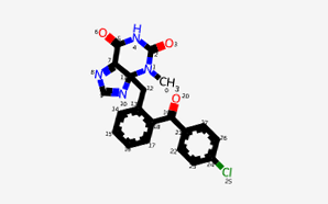 CN1C(=O)NC(=O)C2=NC=NC21Cc1ccccc1C(=O)c1ccc(Cl)cc1